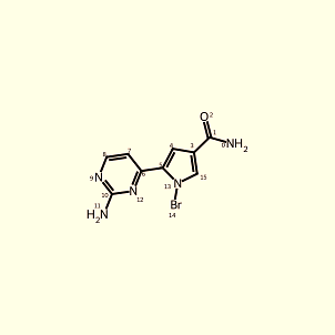 NC(=O)c1cc(-c2ccnc(N)n2)n(Br)c1